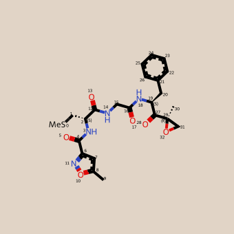 CSC[C@@H](NC(=O)c1cc(C)on1)C(=O)NCC(=O)N[C@@H](Cc1ccccc1)C(=O)[C@@]1(C)CO1